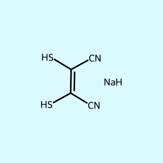 N#C/C(S)=C(/S)C#N.[NaH]